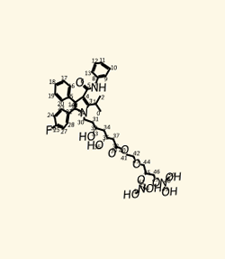 CC(C)c1c(C(=O)Nc2ccccc2)c(-c2ccccc2)c(-c2ccc(F)cc2)n1CC[C@@H](O)C[C@@H](O)CC(=O)OCCOCC(CON(O)O)ON(O)O